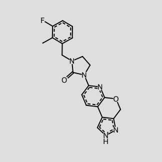 Cc1c(F)cccc1CN1CCN(c2ccc3c(n2)OCc2n[nH]cc2-3)C1=O